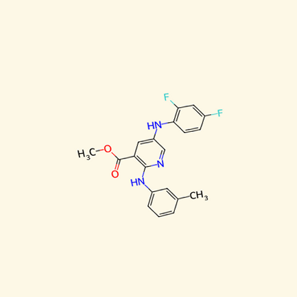 COC(=O)c1cc(Nc2ccc(F)cc2F)cnc1Nc1cccc(C)c1